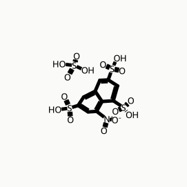 O=S(=O)(O)O.O=[N+]([O-])c1cc(S(=O)(=O)O)cc2cc(S(=O)(=O)O)cc(S(=O)(=O)O)c12